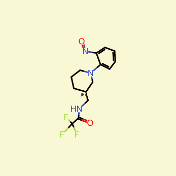 O=Nc1ccccc1N1CCC[C@H](CNC(=O)C(F)(F)F)C1